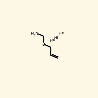 C=CC[B]CN.F.F.F